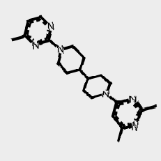 Cc1cc(N2CCC(C3CCN(c4nccc(C)n4)CC3)CC2)nc(C)n1